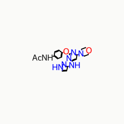 CC(=O)Nc1ccc(Oc2nc(Nc3cc[nH]n3)cc(N3CCOCC3)n2)cc1